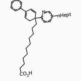 CCCCCCCc1ccc(C2(CCCCCCCCCCC(=O)O)C=CC(c3ccccc3)=CC2)nc1